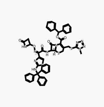 Cn1nnnc1SCC1=C(C(=O)OC(c2ccccc2)c2ccccc2)N2C(=O)C(NC(=O)/C(=N\OC3CC(=O)N3)c3csc(NC(c4ccccc4)(c4ccccc4)c4ccccc4)n3)[C@@H]2SC1